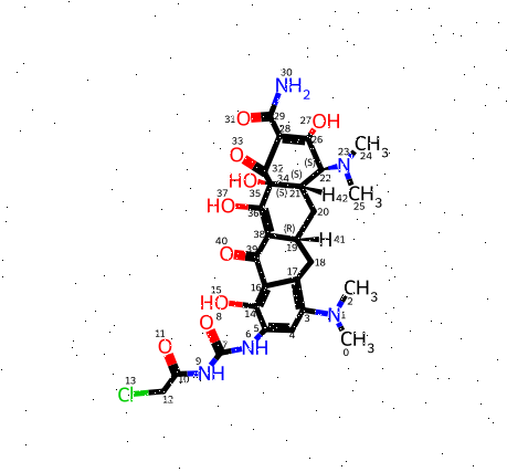 CN(C)c1cc(NC(=O)NC(=O)CCl)c(O)c2c1C[C@H]1C[C@H]3[C@H](N(C)C)C(O)=C(C(N)=O)C(=O)[C@@]3(O)C(O)=C1C2=O